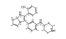 Clc1ccccc1C1=C(c2ccnc(NC3CCNCC3)n2)N2C=COC2N1